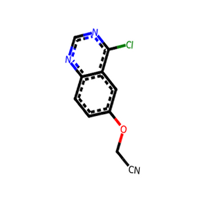 N#CCOc1ccc2ncnc(Cl)c2c1